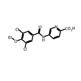 CCOc1c(Cl)cc(C(=O)Nc2ccc(C(=O)O)nc2)cc1Cl